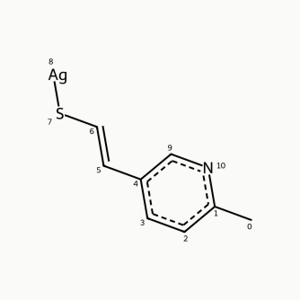 Cc1ccc(C=C[S][Ag])cn1